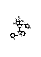 CC1(C)C(=O)Nc2nc(-c3nn(Cc4ccccc4F)c4ncccc34)nc(Oc3cn[nH]c3)c21